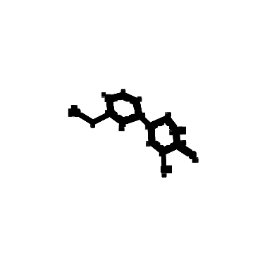 N#Cc1cc(-c2ccnc(CO)n2)c[nH]c1=O